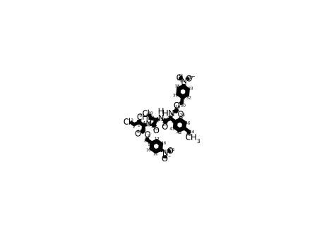 C=C(CCl)C(C(=O)OCc1ccc([N+](=O)[O-])cc1)N1C(=O)C(NC(=O)C(NC(=O)OCc2ccc([N+](=O)[O-])cc2)c2ccc(CC)cc2)C1Cl